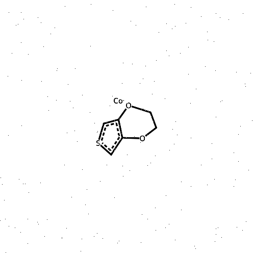 [Co].c1scc2c1OCCO2